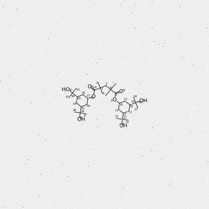 CC(C)(CC(C)(C)C(=O)OC1CC(C(C)(C)O)CC(C(C)(C)O)C1)C(=O)OC1CC(C(C)(C)O)CC(C(C)(C)O)C1